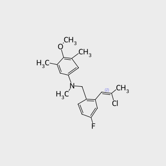 COc1c(C)cc(N(C)Cc2ccc(F)cc2/C=C(/C)Cl)cc1C